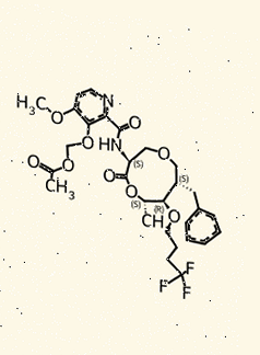 COc1ccnc(C(=O)N[C@H]2COC[C@H](Cc3ccccc3)[C@@H](OCCCC(F)(F)F)[C@H](C)OC2=O)c1OCOC(C)=O